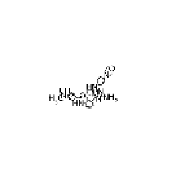 CN(C)c1ccc(C(=O)Nc2cccc(-c3nc(N)nc(Nc4ccc(N5CCOCC5)cc4)n3)c2CO)cc1